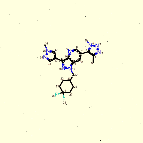 Cc1nnn(C)c1-c1cnc2c(-c3cnn(C)c3)nn(CC3CCC(F)(F)CC3)c2c1